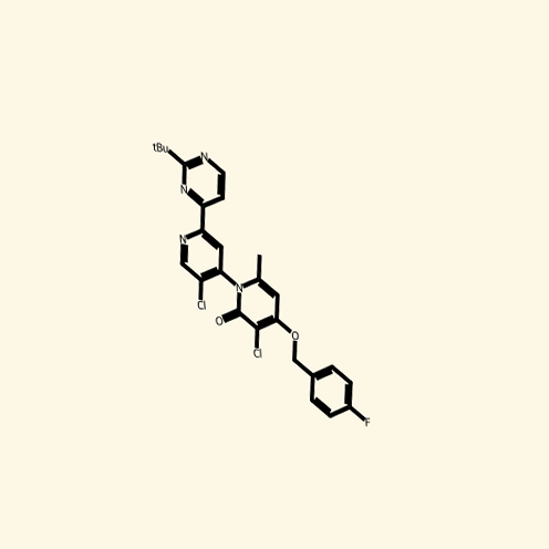 Cc1cc(OCc2ccc(F)cc2)c(Cl)c(=O)n1-c1cc(-c2ccnc(C(C)(C)C)n2)ncc1Cl